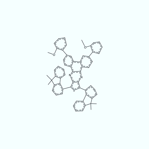 COc1ccccc1-c1ccc2c(c1)c1cc(-c3ccccc3OC)ccc1c1nc3c(-c4cccc5c4-c4ccccc4C5(C)C)sc(-c4cccc5c4-c4ccccc4C5(C)C)c3nc21